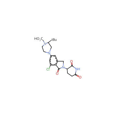 CC(C)(C)C1CN(c2cc(Cl)c3c(c2)CN(C2CCC(=O)NC2=O)C3=O)CCN1C(=O)O